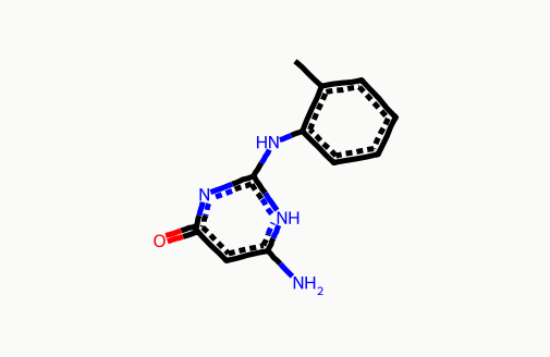 Cc1ccccc1Nc1nc(=O)cc(N)[nH]1